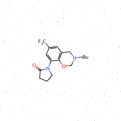 CCC(C)N1COc2c(cc(C(F)(F)F)cc2N2CCCC2=O)C1